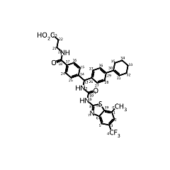 Cc1cc(C(F)(F)F)cc2nc(NC(=O)NC(c3ccc(C(=O)NCCC(=O)O)cc3)c3ccc(C4=CCCCC4)cc3)sc12